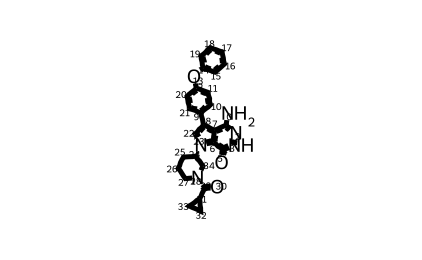 Nc1n[nH]c(=O)c2c1c(-c1ccc(Oc3ccccc3)cc1)cn2[C@@H]1CCCN(C(=O)C2CC2)C1